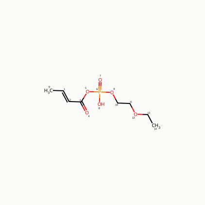 CC=CC(=O)OP(=O)(O)OCCOCC